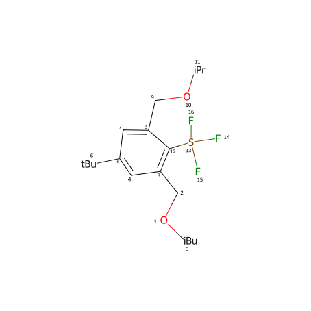 CCC(C)OCc1cc(C(C)(C)C)cc(COC(C)C)c1S(F)(F)F